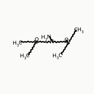 CCCCCCCCCCN(CCCCCCCCCC)C(=O)CCCCCCCCCN(CCCN)CCCCCCCCCC(=O)N(CCCCCCCCCC)CCCCCCCCCC